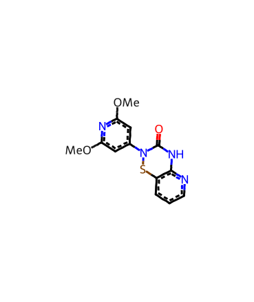 COc1cc(N2Sc3cccnc3NC2=O)cc(OC)n1